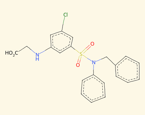 O=C(O)CNc1cc(Cl)cc(S(=O)(=O)N(Cc2ccccc2)c2ccccc2)c1